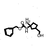 NC1(NC(=O)OCc2ccccc2)CCC(CO)C1